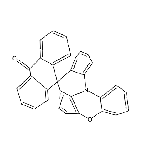 O=C1c2ccccc2C2(c3ccccc31)c1ccccc1N1c3ccccc3Oc3cccc2c31